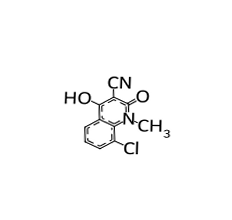 Cn1c(=O)c(C#N)c(O)c2cccc(Cl)c21